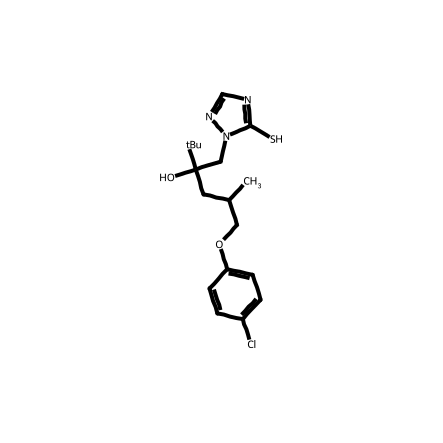 CC(COc1ccc(Cl)cc1)CC(O)(Cn1ncnc1S)C(C)(C)C